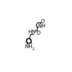 Nc1ccc(CCNC(=O)C2CCC(=O)N2)cc1